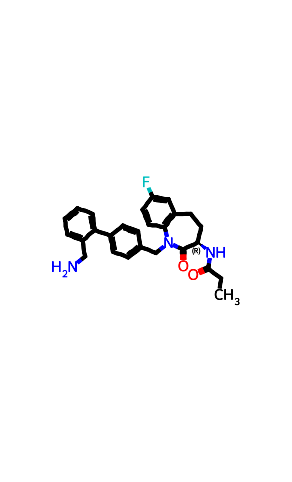 CCC(=O)N[C@@H]1CCc2cc(F)ccc2N(Cc2ccc(-c3ccccc3CN)cc2)C1=O